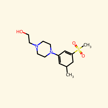 CC1C=C(N2CCN(CCO)CC2)C=C(S(C)(=O)=O)C1